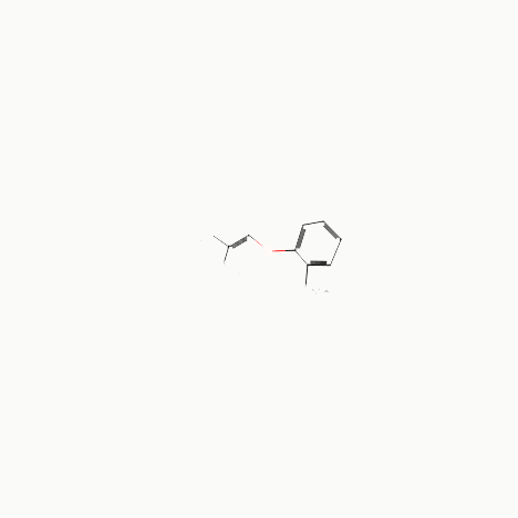 CCOC(=O)/C(C)=C/Oc1ccccc1OC